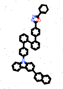 C1=CC(c2nnc(-c3ccc(-c4ccccc4-c4ccccc4-c4ccc(-n5c6ccccc6c6cc(-c7ccc8ccccc8c7)ccc65)cc4)cc3)o2)=CCC1